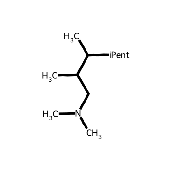 CCCC(C)C(C)C(C)CN(C)C